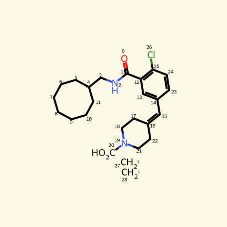 O=C(NC[C]1CCCCCCC1)c1cc(C=C2CCN(C(=O)O)CC2)ccc1Cl.[CH2].[CH2]